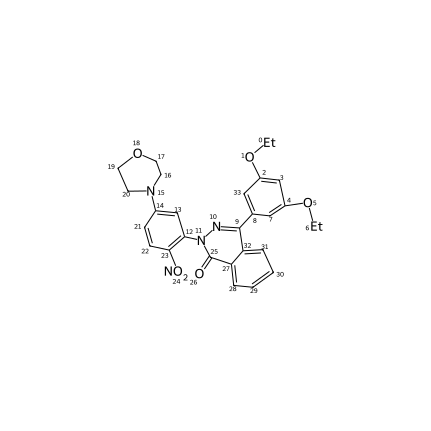 CCOc1cc(OCC)cc(-c2nn(-c3cc(N4CCOCC4)ccc3[N+](=O)[O-])c(=O)c3ccccc23)c1